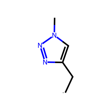 [CH2]Cc1cn(C)nn1